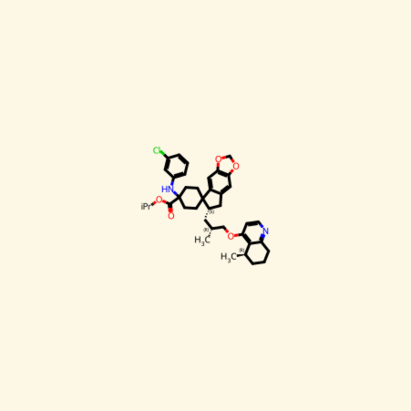 CC(C)OC(=O)C1(Nc2cccc(Cl)c2)CCC2(CC1)c1cc3c(cc1C[C@@H]2C[C@@H](C)COc1ccnc2c1[C@H](C)CCC2)OCO3